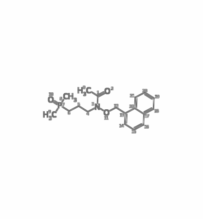 CC(=O)N(CCCP(C)(C)=O)OCc1cccc2ccccc12